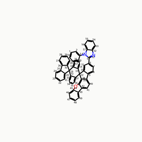 c1ccc(-n2c(-c3ccc4c(c3)C3(c5ccccc5C5(c6ccccc6-c6ccccc65)c5ccccc53)c3c-4ccc4c3oc3ccccc34)nc3ccccc32)cc1